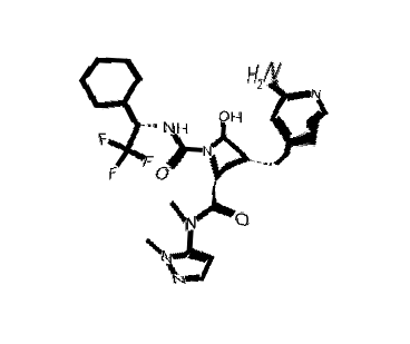 CN(C(=O)[C@@H]1[C@@H](Cc2ccnc(N)c2)C(O)N1C(=O)N[C@@H](C1CCCCC1)C(F)(F)F)c1ccnn1C